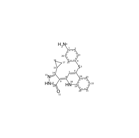 Nc1ccc(SC2=CC(=C3C(=O)NN=C3C3CC3)Nc3ccccc32)cc1